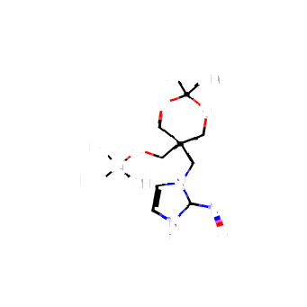 CC1(C)OCC(CO[Si](C)(C)C)(CN2C=CNC2N=O)CO1